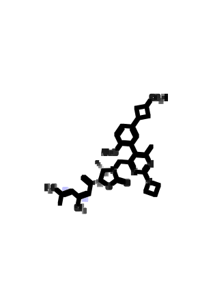 C=C(/C=C(\C=C(/C)C(F)(F)F)C(F)(F)F)[C@H]1OC(=O)N(Cc2nc(N3CCC3)nc(C)c2-c2cc(C3CC(C(=O)O)C3)ccc2OC)[C@H]1C